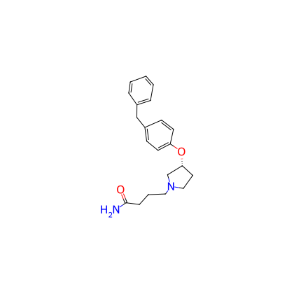 NC(=O)CCCN1CC[C@@H](Oc2ccc(Cc3ccccc3)cc2)C1